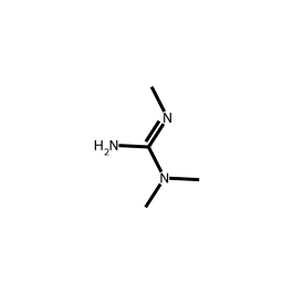 C/N=C(\N)N(C)C